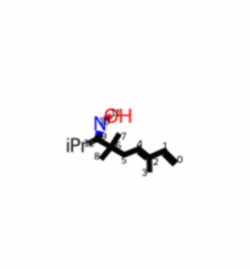 C=C/C(C)=C/CC(C)(C)/C(=N\O)C(C)C